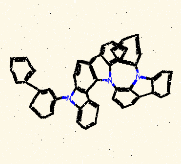 c1ccc(-c2cccc(-n3c4ccccc4c4c3ccc3c5ccccc5n(-c5cccc6c7ccccc7n(-c7ccccc7)c56)c34)c2)cc1